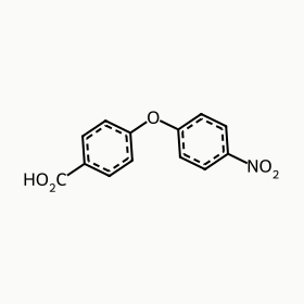 O=C(O)c1ccc(Oc2ccc([N+](=O)[O-])cc2)cc1